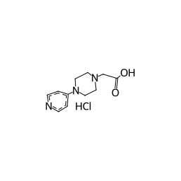 Cl.O=C(O)CN1CCN(c2ccncc2)CC1